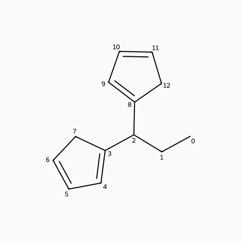 CCC(C1=CC=CC1)C1=CC=CC1